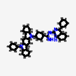 N=C(/N=c1/nc(-c2ccccc2)c2ccccc2[nH]1)c1ccc(-n2c3ccccc3c3cc4c(cc32)c2ccccc2n4-c2ccccc2)cc1